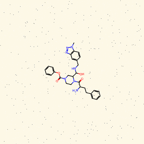 Cn1nnc2cc(CNC(O)C3CN(C(=O)Oc4ccccc4)CCN3C(=O)C(N)CCc3ccccc3)ccc21